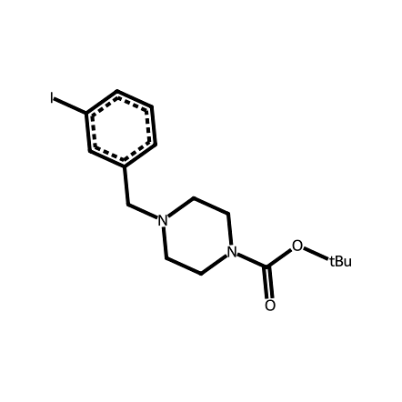 CC(C)(C)OC(=O)N1CCN(Cc2cccc(I)c2)CC1